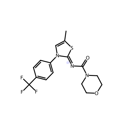 Cc1cn(-c2ccc(C(F)(F)F)cc2)/c(=N/C(=O)N2CCOCC2)s1